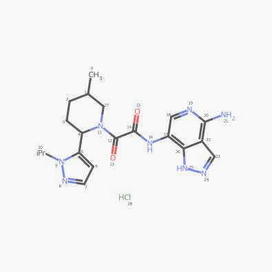 CC1CCC(c2ccnn2C(C)C)N(C(=O)C(=O)Nc2cnc(N)c3cn[nH]c23)C1.Cl